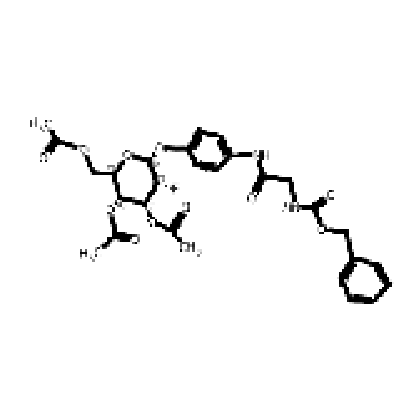 CC(=O)OC[C@H]1O[C@@H](Oc2ccc(NC(=O)CNC(=O)OCc3ccccc3)cc2)[C@H](F)[C@@H](OC(C)=O)[C@@H]1OC(C)=O